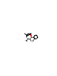 C/C=C1/CN2CC[C@]34C(=C(C(=O)OC)C1C[C@H]23)CCc1ccc(C(C)=O)cc14